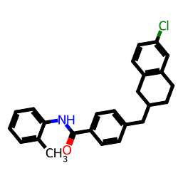 Cc1ccccc1NC(=O)c1ccc(CC2CCc3cc(Cl)ccc3C2)cc1